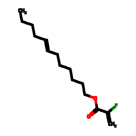 C=C(F)C(=O)OCCCCCC/C=C/CCCC